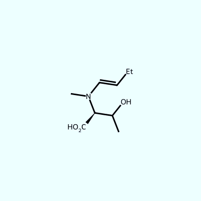 CC/C=C/N(C)[C@H](C(=O)O)C(C)O